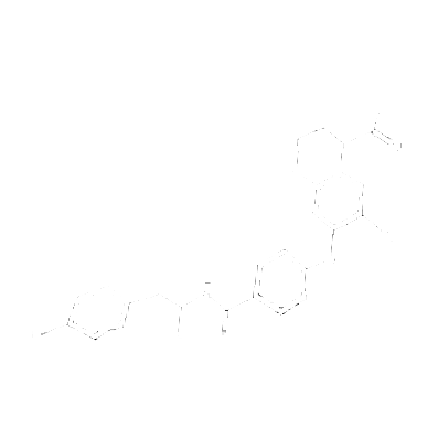 O=C(NC(Br)Cc1ccc(Cl)cc1)c1ccc(Oc2cc3c(cc2Cl)C(C(=O)O)CCO3)cc1